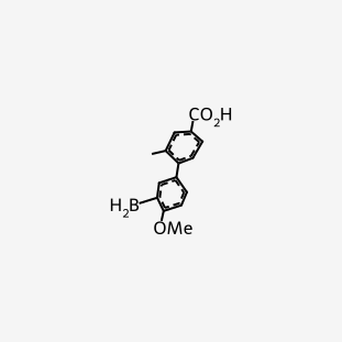 Bc1cc(-c2ccc(C(=O)O)cc2C)ccc1OC